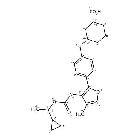 Cc1noc(-c2ccc(O[C@H]3CCC[C@@H](C(=O)O)C3)cc2)c1NC(=O)O[C@H](C)C1CC1